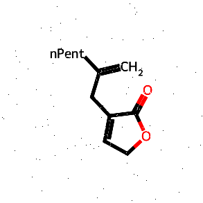 C=C(CCCCC)CC1=CCOC1=O